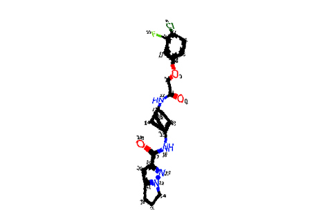 O=C(COc1ccc(Cl)c(F)c1)NC12CC(NC(=O)c3cc4n(n3)CCC4)(C1)C2